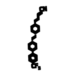 N#C/C=C/CC[C@H]1CC[C@H](CC[C@H]2CC[C@H](c3ccc(C(F)(F)F)cc3)CC2)CC1